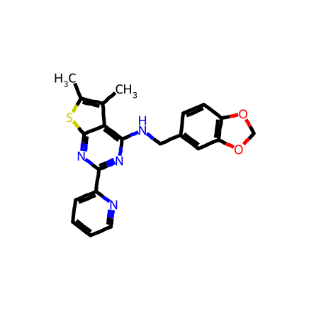 Cc1sc2nc(-c3ccccn3)nc(NCc3ccc4c(c3)OCO4)c2c1C